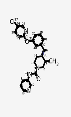 CC1CN(C(=O)Nc2cccnc2)CC/C1=C\c1cccc(Oc2ncc(Cl)cn2)c1